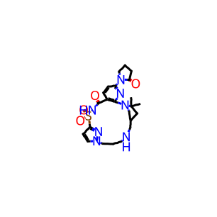 CC1(C)CC2CNCCCn3ccc(n3)S(=O)(=O)NC(=O)c3ccc(N4CCCC4=O)nc3N1C2